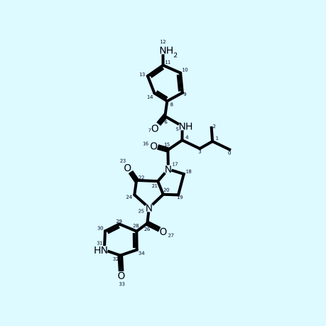 CC(C)CC(NC(=O)c1ccc(N)cc1)C(=O)N1CCC2C1C(=O)CN2C(=O)c1cc[nH]c(=O)c1